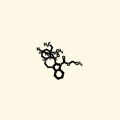 CCOC(=O)n1c2c(c3ccccc31)CC[N@@]1C[C@@H]3C[C@H](CC)[C@H]1[C@@]2(OC)C3